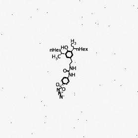 CCCCCCC(C)c1cc(CCNC(=O)Nc2ccc(S(=O)(=O)N=[N+]=[N-])cc2)cc(C(C)CCCCCC)c1O